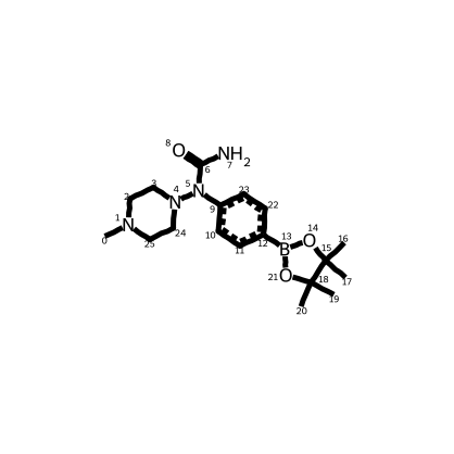 CN1CCN(N(C(N)=O)c2ccc(B3OC(C)(C)C(C)(C)O3)cc2)CC1